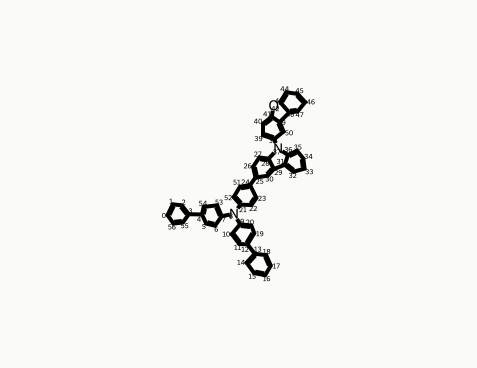 c1ccc(-c2ccc(N(c3ccc(-c4ccccc4)cc3)c3ccc(-c4ccc5c(c4)c4ccccc4n5-c4ccc5oc6ccccc6c5c4)cc3)cc2)cc1